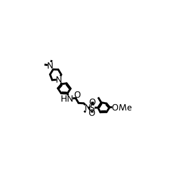 COc1ccc(S(=O)(=O)N(C)CCC(=O)Nc2ccc(N3CCC(N(C)C)CC3)cc2)c(C)c1